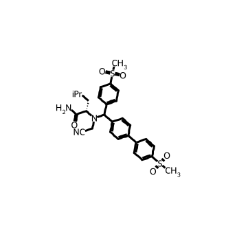 CC(C)C[C@@H](C(N)=O)N(CC#N)C(c1ccc(-c2ccc(S(C)(=O)=O)cc2)cc1)c1ccc(S(C)(=O)=O)cc1